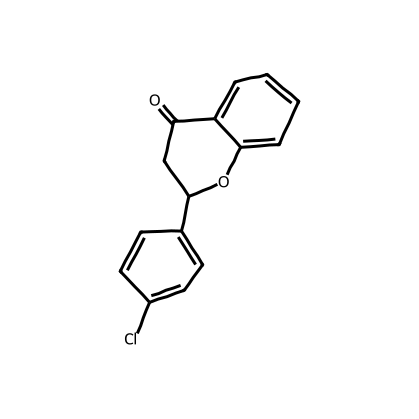 O=C1CC(c2ccc(Cl)cc2)Oc2ccccc21